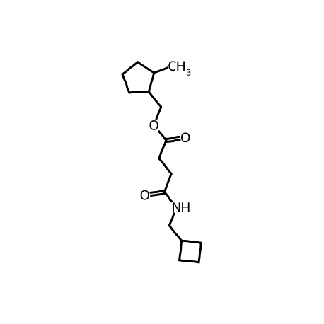 CC1CCCC1COC(=O)CCC(=O)NCC1CCC1